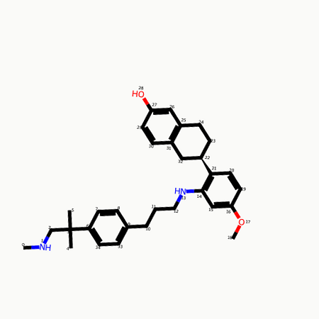 CNCC(C)(C)c1ccc(CCCNc2cc(OC)ccc2[C@@H]2CCc3cc(O)ccc3C2)cc1